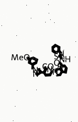 COc1cccc(Cn2cc(-c3ccc(N4CCc5cccc(C(=O)Nc6nc7ccccc7s6)c5C4)nc3C(=O)O)cn2)c1